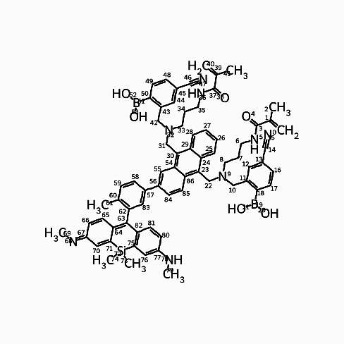 C=C(C)C(=O)NCCCN(Cc1cc(C#N)ccc1B(O)O)Cc1c2ccccc2c(CN(CCCNC(=O)C(=C)C)Cc2cc(C#N)ccc2B(O)O)c2cc(-c3ccc(C)c(C4=C5C=C/C(=N\C)C=C5[Si](C)(C)c5cc(NC)ccc54)c3)ccc12